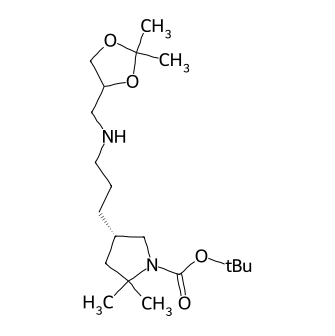 CC(C)(C)OC(=O)N1C[C@@H](CCCNCC2COC(C)(C)O2)CC1(C)C